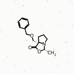 C[C@@H]1OC(=O)[C@@]2(COCc3ccccc3)CCCN12